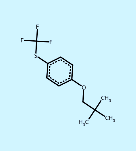 CC(C)(C)COc1ccc(SC(F)(F)F)cc1